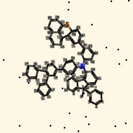 CC1(c2ccccc2)c2ccccc2-c2c(N(c3ccc(-c4ccc(-c5ccccc5)c(-c5ccccc5)c4)cc3)c3cccc(-c4ccc5c(c4)-c4cccc6cccc(c46)S5)c3)cccc21